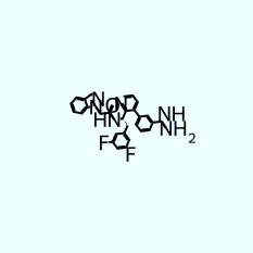 N=C(N)c1cccc(-c2cccnc2[C@H](Cc2cc(F)cc(F)c2)NC(=O)Cn2ncc3ccccc32)c1